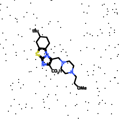 COCCN1CCN(Cc2c(C(=O)O)nc3sc4c(n23)CCC(C(C)(C)C)C4)CC1